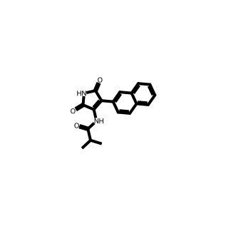 CC(C)C(=O)NC1=C(c2ccc3ccccc3c2)C(=O)NC1=O